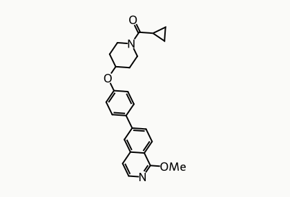 COc1nccc2cc(-c3ccc(OC4CCN(C(=O)C5CC5)CC4)cc3)ccc12